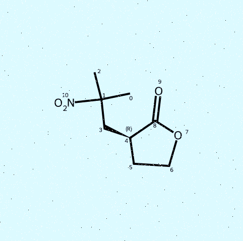 CC(C)(C[C@@H]1CCOC1=O)[N+](=O)[O-]